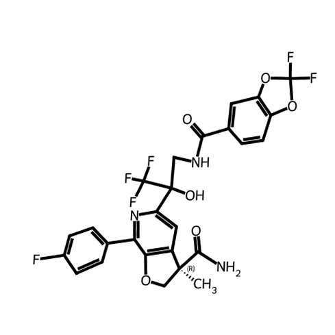 C[C@]1(C(N)=O)COc2c1cc(C(O)(CNC(=O)c1ccc3c(c1)OC(F)(F)O3)C(F)(F)F)nc2-c1ccc(F)cc1